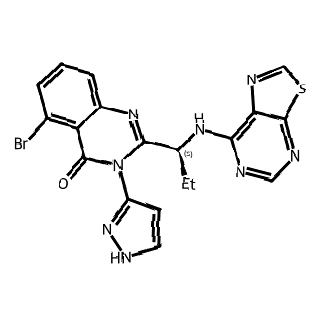 CC[C@H](Nc1ncnc2scnc12)c1nc2cccc(Br)c2c(=O)n1-c1cc[nH]n1